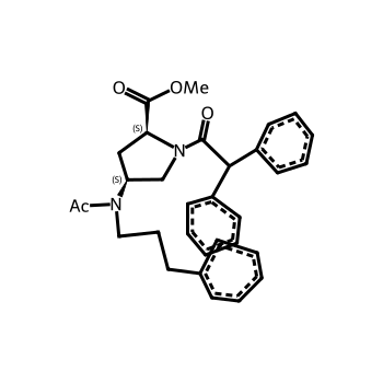 COC(=O)[C@@H]1C[C@H](N(CCCc2ccccc2)C(C)=O)CN1C(=O)C(c1ccccc1)c1ccccc1